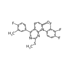 CSc1nc(-c2ccc(F)c(C)c2)c2ccc(=O)n(-c3ccc(F)c(F)c3F)c2n1